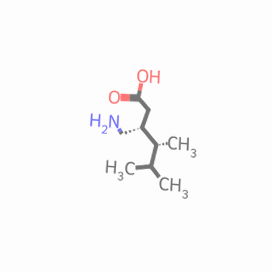 CC(C)[C@@H](C)[C@H](CN)CC(=O)O